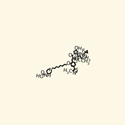 Cc1ncsc1-c1ccc(CNC(=O)[C@@H]2C[C@@H](O)CN2C(=O)C(NC(=O)C2(F)CC2)C(C)(C)C)c(OCCCCCCCCN2CCC(NC(=O)O)CC2)c1